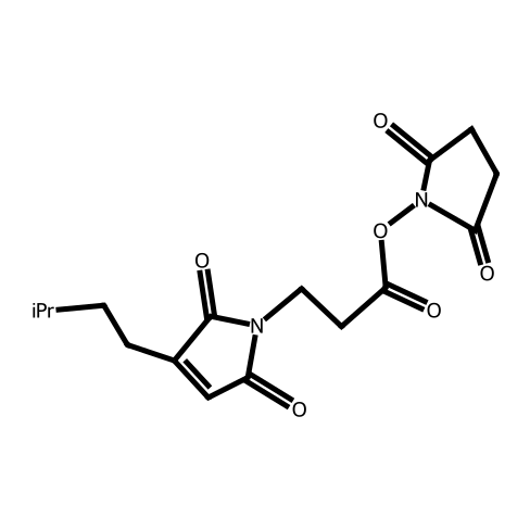 CC(C)CCC1=CC(=O)N(CCC(=O)ON2C(=O)CCC2=O)C1=O